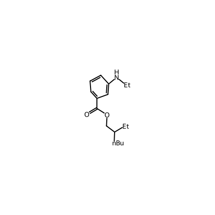 CCCCC(CC)COC(=O)c1cccc(NCC)c1